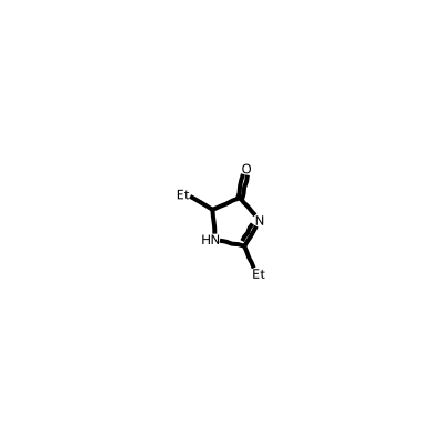 CCC1=NC(=O)C(CC)N1